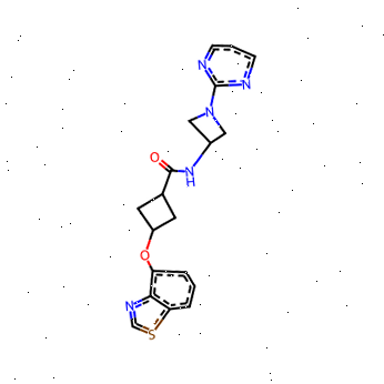 O=C(NC1CN(c2ncccn2)C1)C1CC(Oc2cccc3scnc23)C1